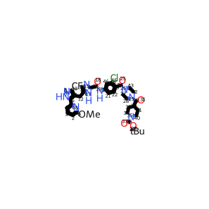 COc1cccc(-c2[nH]nc(C(F)(F)F)c2Cc2cnc(C(=O)Nc3ccc(C(=O)N4CCN(C(=O)C5CCN(C(=O)OC(C)(C)C)CC5)CC4)c(Cl)c3)[nH]2)n1